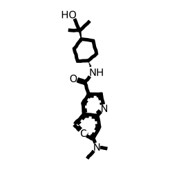 CN(C)c1ccc2cc(C(=O)N[C@H]3CC[C@H](C(C)(C)O)CC3)cnc2c1